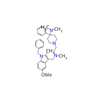 COc1ccc2c(c1)c(CN(C)CCN1CCC(c3ccccc3)(N(C)C)CC1)c(C)n2Cc1ccccc1